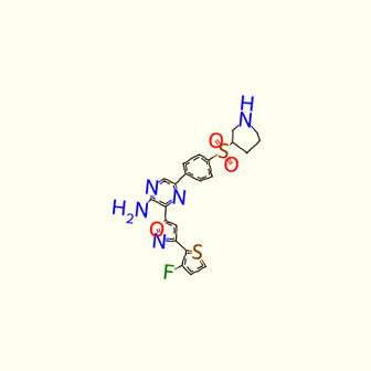 Nc1ncc(-c2ccc(S(=O)(=O)C3CCCNC3)cc2)nc1-c1cc(-c2sccc2F)no1